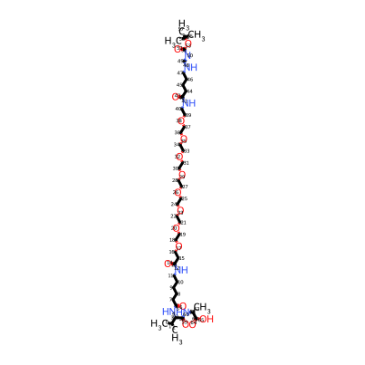 CC(C)[C@H](NC(=O)CCCCCNC(=O)CCOCCOCCOCCOCCOCCOCCOCCOCCNC(=O)CCCCNC=NC(=O)OC(C)(C)C)C(=O)N[C@@H](C)C(=O)O